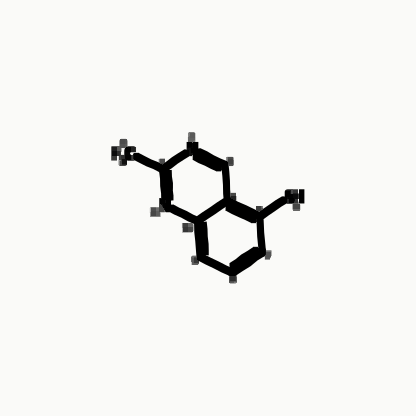 FC(F)(F)c1ncc2c(S)cccc2n1